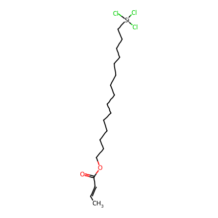 CC=CC(=O)OCCCCCCCCCCCCCCC[Si](Cl)(Cl)Cl